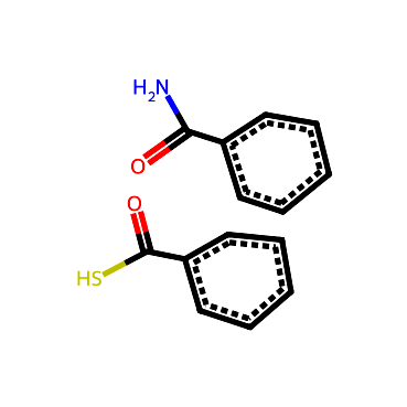 NC(=O)c1ccccc1.O=C(S)c1ccccc1